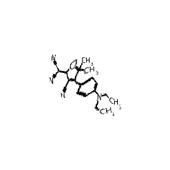 CCN(CC)c1ccc(C2=C(C#N)C(=C(C#N)C#N)OC2(C)C)cc1